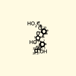 CCCC1([C@H](O)c2cccc([C@H]3[C@H](O)CC(=O)[C@@H]3Cc3cccc(OCC(=O)O)c3)c2)CCC1